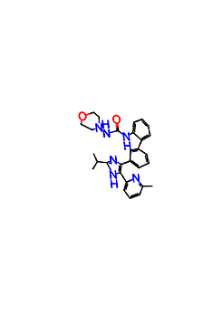 Cc1cccc(-c2[nH]c(C(C)C)nc2-c2cccc(-c3ccccc3NC(=O)NN3CCOCC3)c2)n1